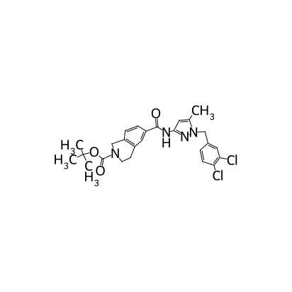 Cc1cc(NC(=O)c2ccc3c(c2)CCN(C(=O)OC(C)(C)C)C3)nn1Cc1ccc(Cl)c(Cl)c1